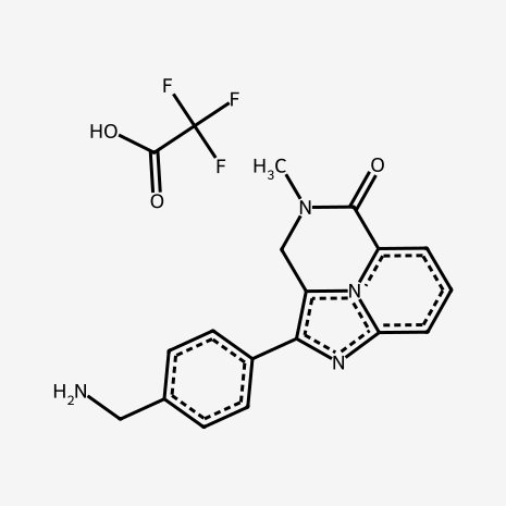 CN1Cc2c(-c3ccc(CN)cc3)nc3cccc(n23)C1=O.O=C(O)C(F)(F)F